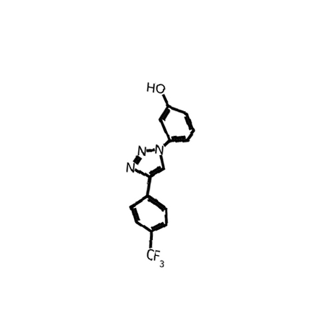 Oc1cccc(-n2cc(-c3ccc(C(F)(F)F)cc3)nn2)c1